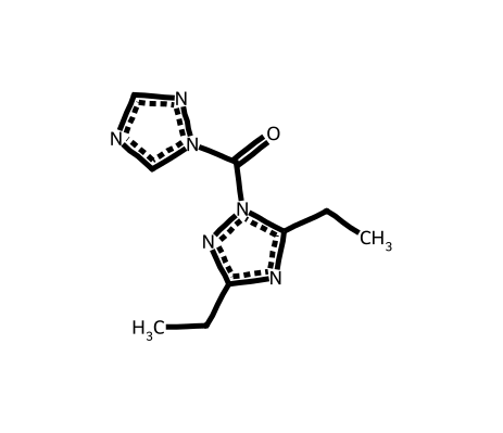 CCc1nc(CC)n(C(=O)n2cncn2)n1